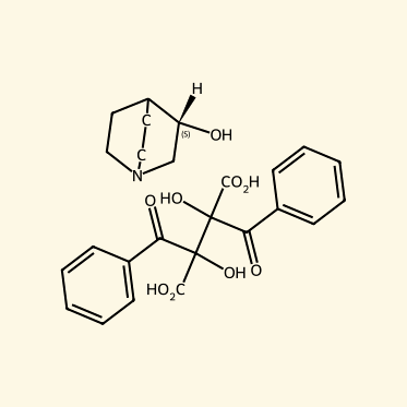 O=C(O)C(O)(C(=O)c1ccccc1)C(O)(C(=O)O)C(=O)c1ccccc1.O[C@@H]1CN2CCC1CC2